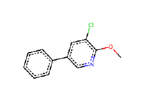 COc1ncc(-c2ccccc2)cc1Cl